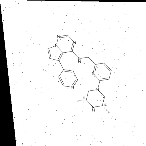 C[C@@H]1CN(c2cccc(CNc3ncnn4ccc(-c5ccncc5)c34)n2)C[C@H](C)N1